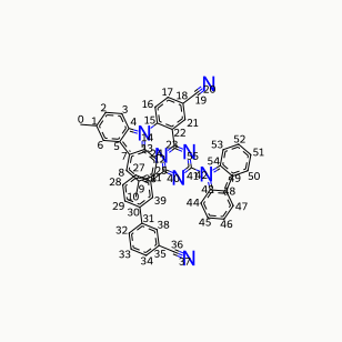 Cc1ccc2c(c1)c1cc(C)ccc1n2-c1ccc(C#N)cc1-c1nc(-c2cccc(-c3cccc(C#N)c3)c2)nc(-n2c3ccccc3c3ccccc32)n1